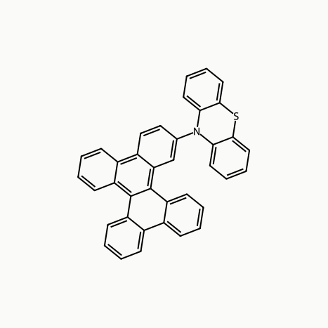 c1ccc2c(c1)Sc1ccccc1N2c1ccc2c3ccccc3c3c4ccccc4c4ccccc4c3c2c1